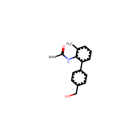 CNC(=O)Nc1c(C)cccc1-c1ccc(CO)cc1